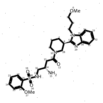 COCCCn1c([C@@H]2CCCN(C(=O)C[C@H](N)CNS(=O)(=O)c3ccccc3OC)C2)nc2ccccc21